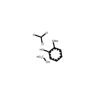 COc1ccccc1O.ClC(Cl)Cl.O=C(O)O